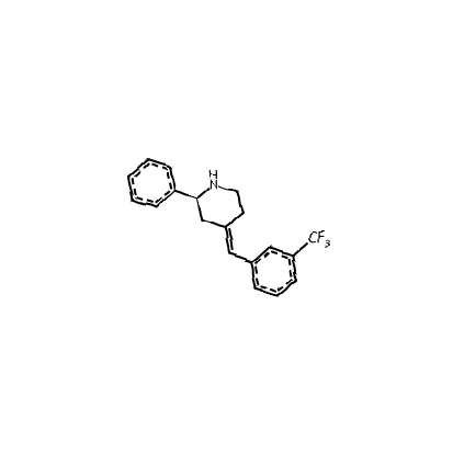 FC(F)(F)c1cccc(C=C2CCNC(c3ccccc3)C2)c1